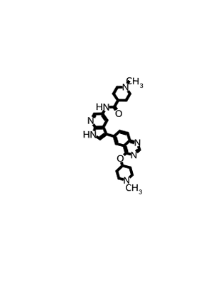 CN1CCC(Oc2ncnc3ccc(-c4c[nH]c5ncc(NC(=O)C6CCN(C)CC6)cc45)cc23)CC1